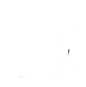 COCCO[C@H]1CS[C@H](COC(=O)c2ccccc2)O1